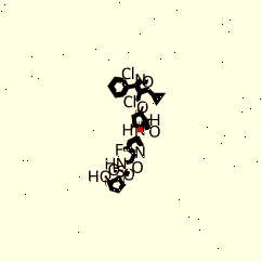 O=C(NS(=O)(=O)[C@@H]1CCC[C@H]1O)c1ncc(N2C(=O)[C@@H]3C[C@H]2C[C@H]3OCc2c(-c3c(Cl)cccc3Cl)noc2C2CC2)cc1F